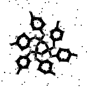 Cc1ccc(OP2(Oc3ccc(C)cc3)=NP(Oc3ccc(C)cc3)(Oc3ccc(C)cc3)=NP(Oc3ccc(C)cc3)(Oc3ccc(C)cc3)=N2)cc1